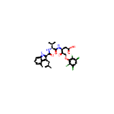 Cc1cccc2[nH]c(C(=O)N[C@H](C(=O)NC(CC(=O)O)C(=O)COc3c(F)c(F)cc(F)c3F)C(C)C)c(CC(C)C)c12